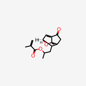 C=C(C)C(=O)OC(C)CC1C2=C3O[C@H]1C=C3C(=O)C2